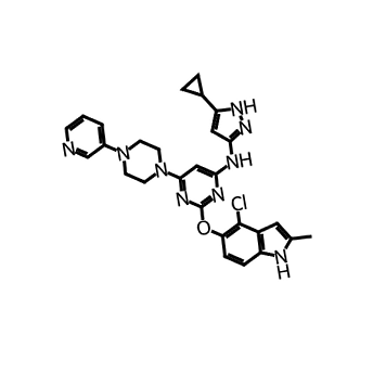 Cc1cc2c(Cl)c(Oc3nc(Nc4cc(C5CC5)[nH]n4)cc(N4CCN(c5cccnc5)CC4)n3)ccc2[nH]1